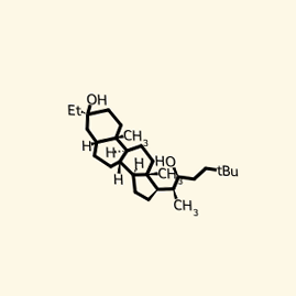 CC[C@]1(O)CC[C@@]2(C)[C@H](CC[C@@H]3[C@@H]2CC[C@]2(C)[C@@H]([C@H](C)[C@@H](O)CCC(C)(C)C)CC[C@@H]32)C1